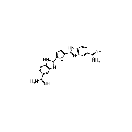 N=C(N)c1ccc2[nH]c(-c3ccc(-c4nc5cc(C(=N)N)ccc5[nH]4)o3)nc2c1